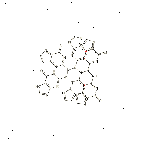 O=C1N=C(NN(C2=NC(=O)C3=NC=NC3=N2)N(C2=NC(=O)C3=NC=NC3=N2)N(C2=NC(=O)C3=NC=NC3=N2)N(Nc2nc3nc[nH]c3c(=O)[nH]2)C2=NC(=O)C3=NC=NC3=N2)N=C2N=CN=C12